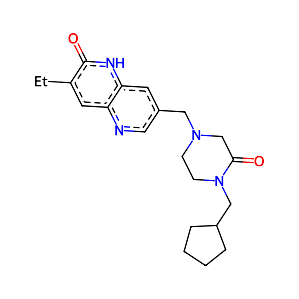 CCc1cc2ncc(CN3CCN(CC4CCCC4)C(=O)C3)cc2[nH]c1=O